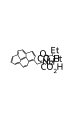 CCC(CC)C(=O)NC(Cc1ccc2ccc3cccc4ccc1c2c34)(C(=O)O)C(=O)O